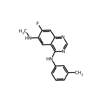 CNc1cc2c(Nc3cccc(C)c3)ncnc2cc1F